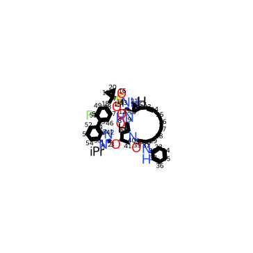 CC(C)n1c(O[C@@H]2C[C@H]3C(=O)N[C@]4(C(=O)NS(=O)(=O)C5(C)CC5)C[C@H]4/C=C\CCCCC[C@H](Nc4ccccc4)C(=O)N3C2)nc2c(-c3ccccc3F)cccc21